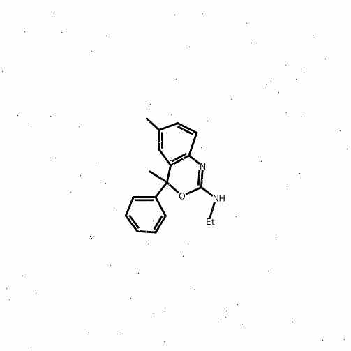 CCNC1=Nc2ccc(C)cc2C(C)(c2ccccc2)O1